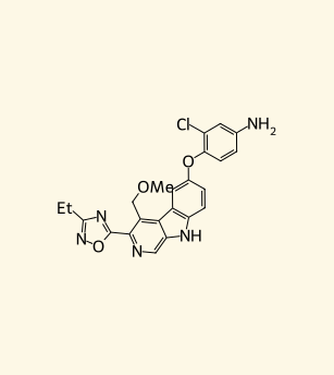 CCc1noc(-c2ncc3[nH]c4ccc(Oc5ccc(N)cc5Cl)cc4c3c2COC)n1